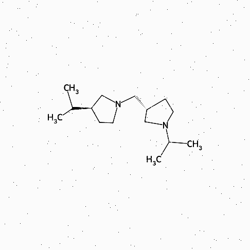 CC(C)[C@@H]1CCN(C[C@@H]2CCN(C(C)C)C2)C1